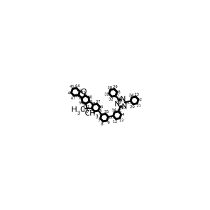 CC1(C)c2cc(-c3cccc(-c4cccc(-c5nc(-c6ccccc6)nc(-c6ccccc6)n5)c4)c3)ccc2-c2cc3oc4ccccc4c3cc21